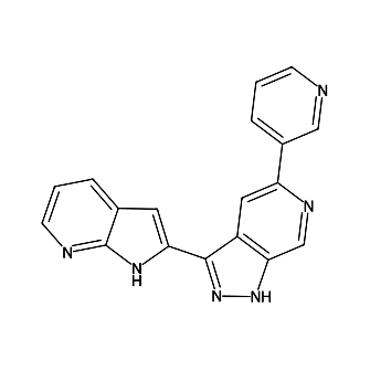 c1cncc(-c2cc3c(-c4cc5cccnc5[nH]4)n[nH]c3cn2)c1